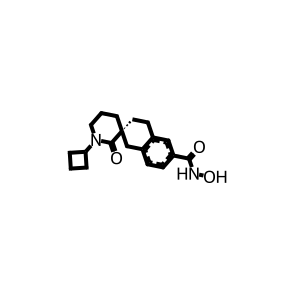 O=C(NO)c1ccc2c(c1)CC[C@]1(CCCN(C3CCC3)C1=O)C2